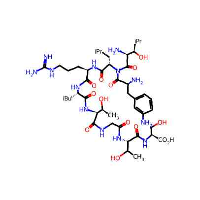 CCC(C)[C@H](NC(=O)[C@@H](CCCNC(=N)N)NC(=O)[C@H](CC(C)C)N(C(=O)[C@@H](N)[C@H](O)C(C)C)C(=O)[C@@H](N)Cc1cccc(N)c1)C(=O)N[C@H](C(=O)NCC(=O)N[C@H](C(=O)N[C@@H](CO)C(=O)O)C(C)O)[C@H](C)O